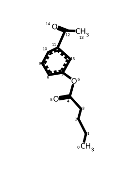 CCCCC(=O)Oc1cccc(C(C)=O)c1